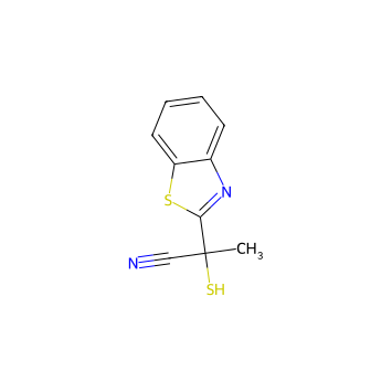 CC(S)(C#N)c1nc2ccccc2s1